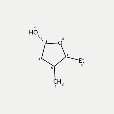 CCC1O[C@@H](O)CC1C